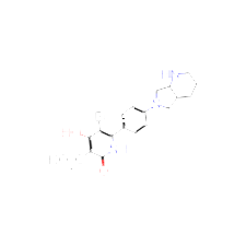 CCc1c(-c2ccc(N3CC4CCCNC4C3)cc2)[nH]c(=O)c(C(=O)O)c1O